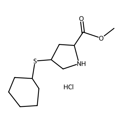 COC(=O)C1CC(SC2CCCCC2)CN1.Cl